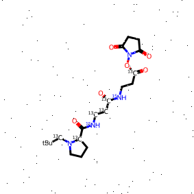 C[13C](C)(C)[13CH2]N1CCC[13CH]1C(=O)[15NH][13CH2][13CH2][13C](=O)[15NH]CC[13C](=O)ON1C(=O)CCC1=O